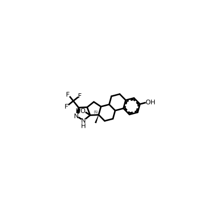 C[C@]12CCC3c4ccc(O)cc4CCC3C1CC1C(C(F)(F)F)=NNC12O